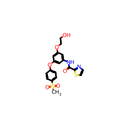 CS(=O)(=O)c1ccc(Oc2cc(NC(=O)c3nccs3)cc(OCCO)c2)cc1